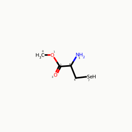 COC(=O)C(N)C[SeH]